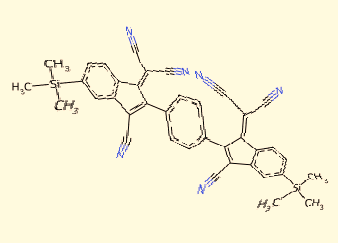 C[Si](C)(C)c1ccc2c(c1)C(C#N)=C(c1ccc(C3=C(C#N)c4cc([Si](C)(C)C)ccc4C3=C(C#N)C#N)cc1)C2=C(C#N)C#N